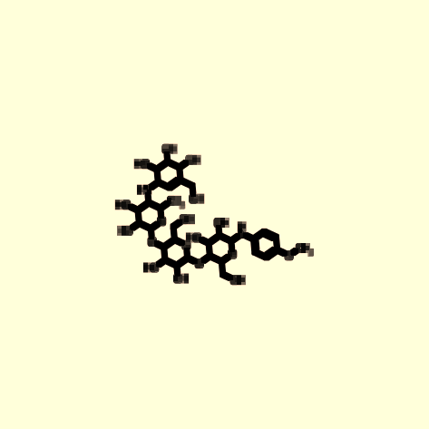 COc1ccc(NC2OC(CO)C(OC3OC(CO)C(OC4OC(C)C(NC5C=C(CO)C(O)C(O)C5O)C(O)C4O)C(O)C3O)C(O)C2O)cc1